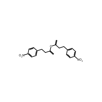 C=C(CCc1ccc([N+](=O)[O-])cc1)OC(=C)CCc1ccc([N+](=O)[O-])cc1